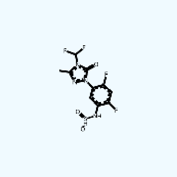 Cc1nn(-c2cc(N[SH](=O)=O)c(F)cc2F)c(=O)n1C(F)F